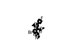 CCOC(=O)c1c(C[S+]([O-])c2ccc(F)cc2)n(C2CC2)c2cc(Br)c(O)c(Cn3ccnc3)c12